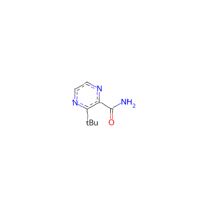 CC(C)(C)c1nccnc1C(N)=O